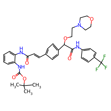 CC(C)(C)OC(=O)Nc1ccccc1NC(=O)C=Cc1ccc(C(OCCN2CCOCC2)C(=O)Nc2ccc(C(F)(F)F)cc2)cc1